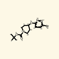 CC(C)(C)OC(=O)N1CCC(Oc2ccc(Br)nn2)CC1